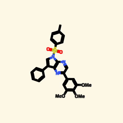 COc1cc(-c2cnc3c(n2)c(-c2ccccc2)cn3S(=O)(=O)c2ccc(C)cc2)cc(OC)c1OC